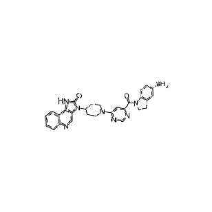 Bc1ccc2c(c1)CCN2C(=O)c1cc(N2CCC(n3c(=O)[nH]c4c5ccccc5ncc43)CC2)ncn1